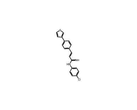 N=C(/C=C/c1ccc(-c2ccsc2)cc1)Nc1ccc(Cl)cc1